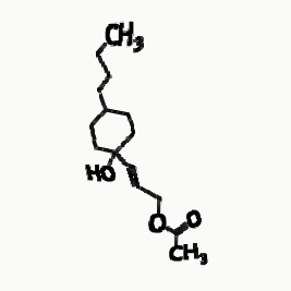 CCCCC1CCC(O)(C=CCOC(C)=O)CC1